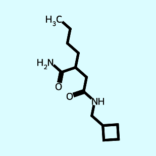 CCCCC(CC(=O)NCC1CCC1)C(N)=O